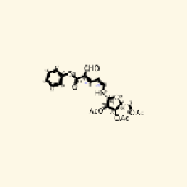 CC(=O)OC[C@H]1O[C@@H](N/C=C\C=C(/C=O)C(=O)Sc2ccccc2)[C@H](OC(C)=O)[C@@H]1OC(C)=O